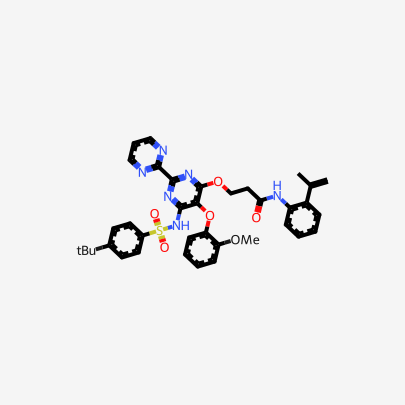 C=C(C)c1ccccc1NC(=O)CCOc1nc(-c2ncccn2)nc(NS(=O)(=O)c2ccc(C(C)(C)C)cc2)c1Oc1ccccc1OC